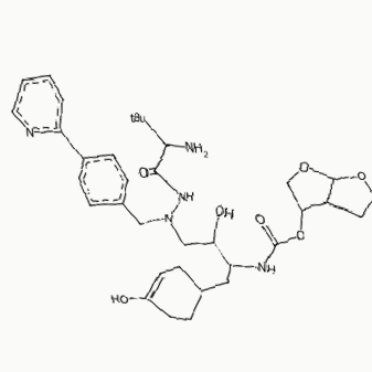 CC(C)(C)C(N)C(=O)NN(Cc1ccc(-c2ccccn2)cc1)CC(O)C(CC1CC=C(O)CC1)NC(=O)OC1COC2OCCC12